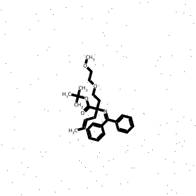 C/C=C/CC(CCOCCOC)(N=C(c1ccccc1)c1ccccc1)C(=O)OC(C)(C)C